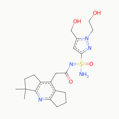 CC1(C)CCc2c1nc1c(c2CC(=O)N=S(N)(=O)c2cc(CO)n(CCO)n2)CCC1